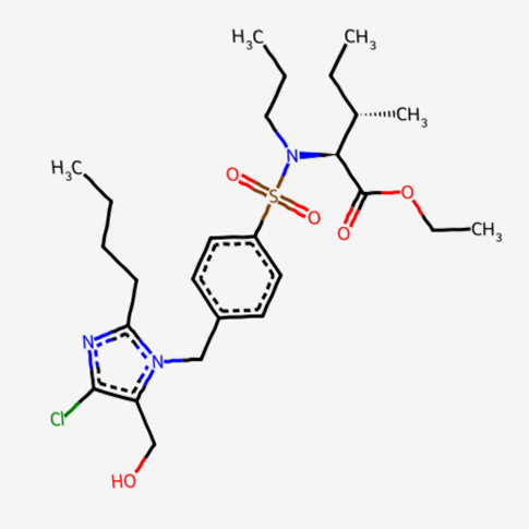 CCCCc1nc(Cl)c(CO)n1Cc1ccc(S(=O)(=O)N(CCC)[C@H](C(=O)OCC)[C@@H](C)CC)cc1